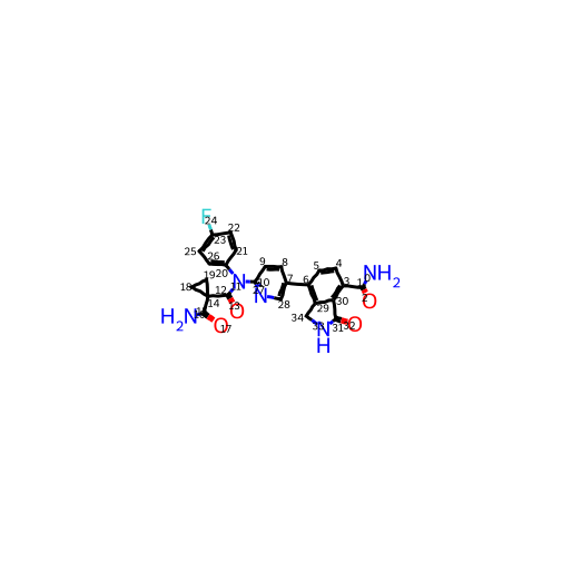 NC(=O)c1ccc(-c2ccc(N(C(=O)C3(C(N)=O)CC3)c3ccc(F)cc3)nc2)c2c1C(=O)NC2